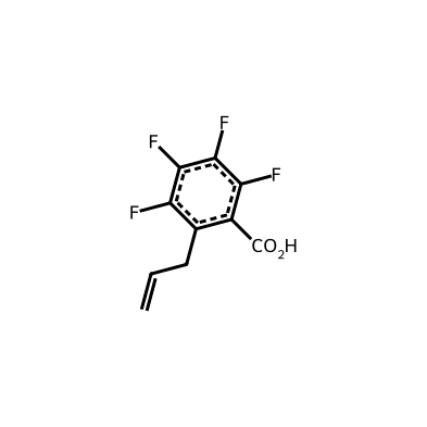 C=CCc1c(F)c(F)c(F)c(F)c1C(=O)O